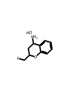 Cl.NC1CC(CF)Oc2ccccc21